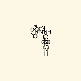 CC1CCCC1N1C(=O)C2(CC2)c2cnc(NC3CCN(S(=O)(=O)N4CCNCC4)CC3)nc21